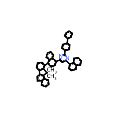 CC1(C)c2c(cccc2-c2ccc(-c3cc(-c4cccc5ccccc45)nc(-c4ccc(-c5ccccc5)cc4)n3)c3ccccc23)-c2ccc3ccccc3c21